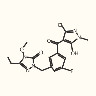 CCc1nn(Cc2cc(F)cc(C(=O)c3c(Cl)nn(C)c3O)c2)c(=O)n1OC